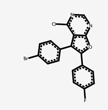 Fc1ccc(-c2oc3ncnc(Cl)c3c2-c2ccc(Br)cc2)cc1